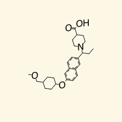 CCC(c1ccc2cc(OC3CCC(COC)CC3)ccc2c1)N1CCC(C(=O)O)CC1